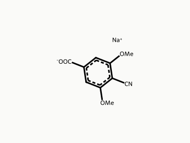 COc1cc(C(=O)[O-])cc(OC)c1C#N.[Na+]